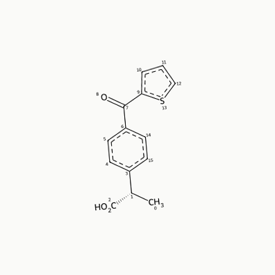 C[C@H](C(=O)O)c1ccc(C(=O)c2cccs2)cc1